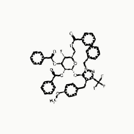 COc1ccc(Cc2c(C(F)(F)F)nn(Cc3ccccc3)c2O[C@H]2O[C@H](COC(=O)c3ccccc3)[C@@H](F)[C@H](OC(=O)c3ccccc3)[C@H]2OC(=O)c2ccccc2)cc1